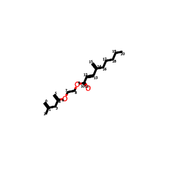 C=C(C)CC(=C)OCCOC(=O)/C=C/C(=C)CCCCC